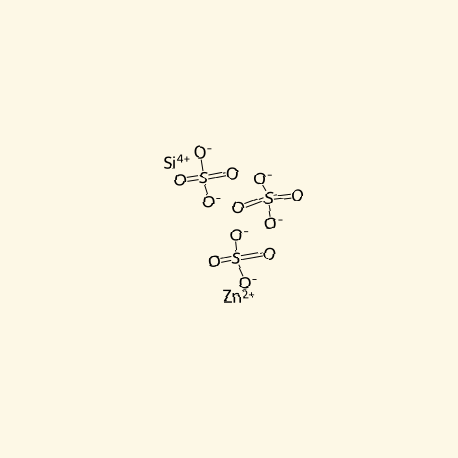 O=S(=O)([O-])[O-].O=S(=O)([O-])[O-].O=S(=O)([O-])[O-].[Si+4].[Zn+2]